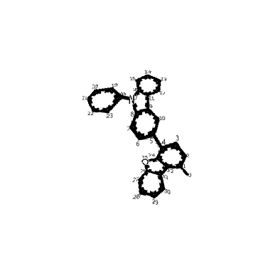 Cc1ccc(-c2ccc3c(c2)c2ccccc2n3-c2ccccc2)c2oc3ccccc3c12